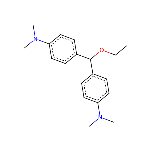 CCOC(c1ccc(N(C)C)cc1)c1ccc(N(C)C)cc1